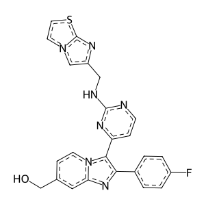 OCc1ccn2c(-c3ccnc(NCc4cn5ccsc5n4)n3)c(-c3ccc(F)cc3)nc2c1